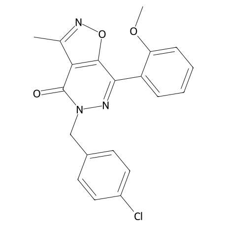 COc1ccccc1-c1nn(Cc2ccc(Cl)cc2)c(=O)c2c(C)noc12